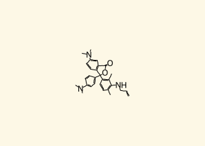 C=CCNc1c(C)ccc(C2(c3ccc(N(C)C)cc3)OC(=O)c3cc(N(C)C)ccc32)c1C